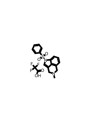 CN1Cc2cccc3c2c(cn3S(=O)(=O)c2ccccc2)C1.O=C(O)C(F)(F)F